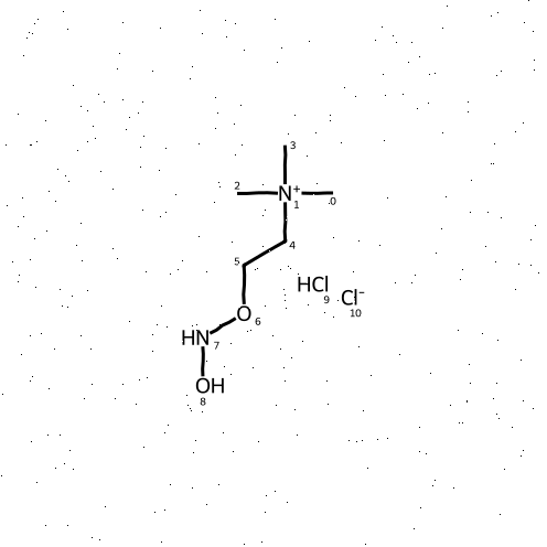 C[N+](C)(C)CCONO.Cl.[Cl-]